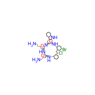 CN1C(=O)[C@H](CCCCN)NC(=O)[C@H](CCCN)NCc2ccccc2Sc2c(ccc(Br)c2Cl)CNC(=O)[C@@H]1Cc1c[nH]c2ccccc12